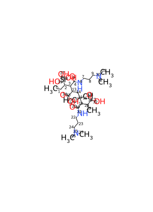 CCC(C(C(=O)NCCCN(C)C)C(CC(C)(C)C(C(=O)NCCCN(C)C)C(C)C(=O)O)C(=O)O)[Si](O)(O)O